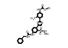 Cc1cc(NC(=O)OC(C)C)ccc1-c1ncc(-c2ccc(NC(=O)NCc3ccccc3)cc2S(=O)(=O)NC(C)(C)C)s1